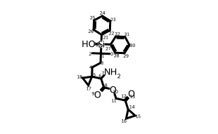 CC(C)(CCC1(C(N)C(=O)OCC(=O)C2CC2)CC1)[Si](O)(c1ccccc1)c1ccccc1